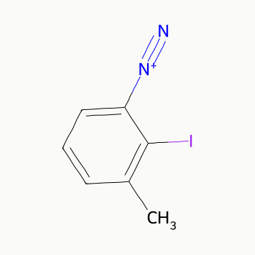 Cc1cccc([N+]#N)c1I